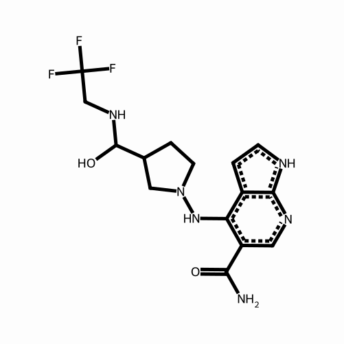 NC(=O)c1cnc2[nH]ccc2c1NN1CCC(C(O)NCC(F)(F)F)C1